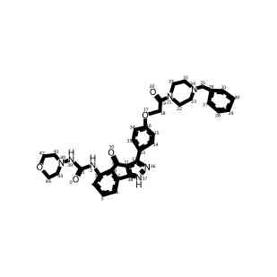 O=C(Nc1cccc2c1C(=O)c1c(-c3ccc(OCC(=O)N4CCN(Cc5ccccc5)CC4)cc3)n[nH]c1-2)NN1CCOCC1